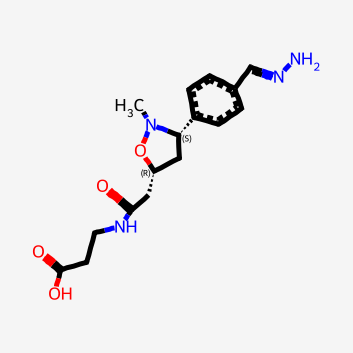 CN1O[C@@H](CC(=O)NCCC(=O)O)C[C@H]1c1ccc(C=NN)cc1